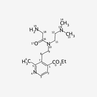 CCOC(=O)c1ccnc(C)c1CCN(CCN(C)C)C(=O)CN